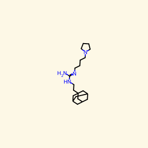 NC(=NCCCCN1CCCC1)NCCC12CC3CC(CC(C3)C1)C2